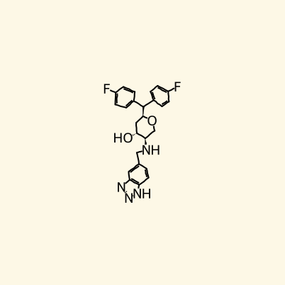 O[C@@H]1C[C@@H](C(c2ccc(F)cc2)c2ccc(F)cc2)OC[C@H]1NCc1ccc2[nH]nnc2c1